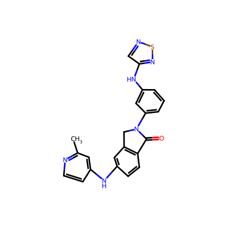 Cc1cc(Nc2ccc3c(c2)CN(c2cccc(Nc4cnsn4)c2)C3=O)ccn1